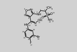 CC(CNc1nonc1C(=NO)Nc1ccc(F)c(Br)c1)S(N)(=O)=O